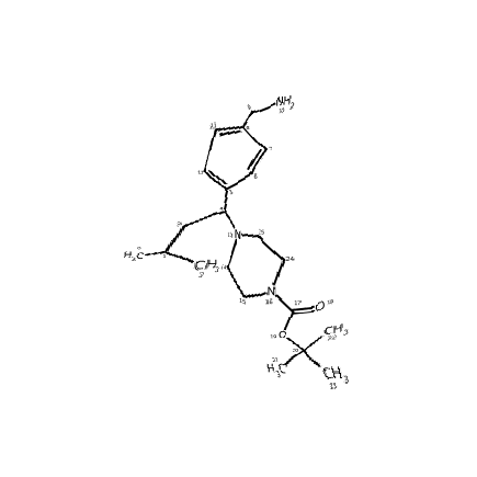 CC(C)CC(c1ccc(CN)cc1)N1CCN(C(=O)OC(C)(C)C)CC1